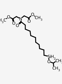 COC(=O)CN(CC(=O)OC)C(=O)CCCCCCCCCC[SiH2]OC(C)C